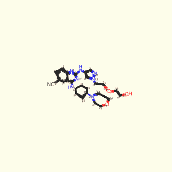 N#Cc1ccc2nc(Nc3cnn(CCOCCO)c3)nc(N[C@H]3CC[C@H](N4CCOCC4)CC3)c2c1